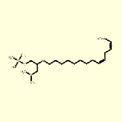 CCCCC/C=C\C/C=C\CCCCCCCCOC(CO[Si](C)(C)C(C)(C)C)CN(C)C